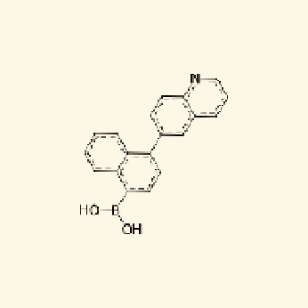 OB(O)c1ccc(-c2ccc3ncccc3c2)c2ccccc12